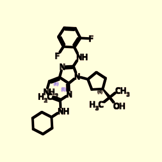 C=C(/N=C1\C(=C/N)N=C(Nc2c(F)cccc2F)N1C1CC[C@@H](C(C)(C)O)C1)NC1CCCCC1